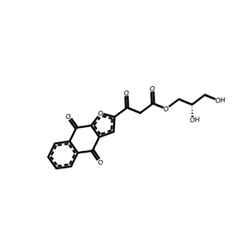 O=C(CC(=O)c1cc2c(o1)C(=O)c1ccccc1C2=O)OC[C@@H](O)CO